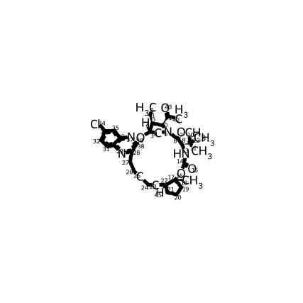 CC[C@@H]1[C@@H]2CN(C(=O)[C@H](C(C)(C)C)NC(=O)O[C@]3(C)CCC[C@H]3CCCCCc3nc4ccc(Cl)cc4nc3O2)[C@@H]1C(C)=O